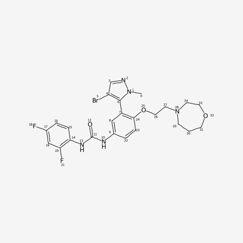 Cn1ncc(Br)c1-c1cc(NC(=O)Nc2ccc(F)cc2F)ccc1OCCN1CCCOCC1